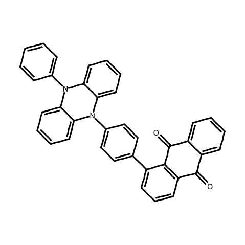 O=C1c2ccccc2C(=O)c2c1cccc2-c1ccc(N2c3ccccc3N(c3ccccc3)c3ccccc32)cc1